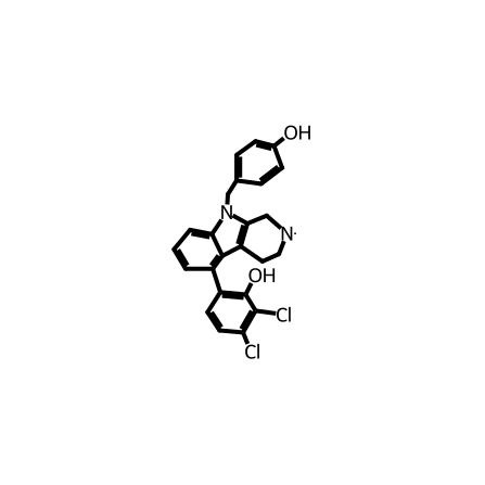 Oc1ccc(Cn2c3c(c4c(-c5ccc(Cl)c(Cl)c5O)cccc42)CC[N]C3)cc1